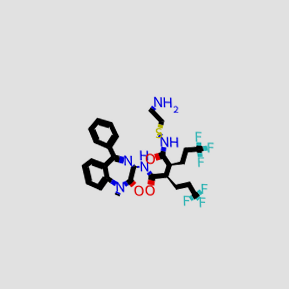 CN1C(=O)[C@@H](NC(=O)[C@H](CCC(F)(F)F)[C@H](CCC(F)(F)F)C(=O)NSCCN)N=C(c2ccccc2)c2ccccc21